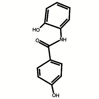 O=C(Nc1ccccc1O)c1ccc(O)cc1